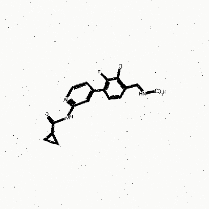 O=C(O)NCc1ccc(-c2ccnc(NC(=O)C3CC3)c2)c(F)c1Cl